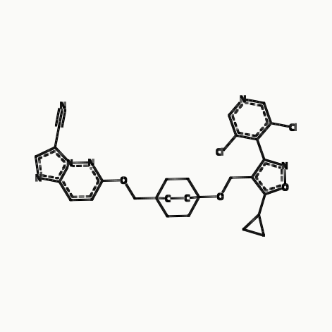 N#Cc1cnc2ccc(OCC34CCC(OCc5c(-c6c(Cl)cncc6Cl)noc5C5CC5)(CC3)CC4)nn12